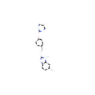 Cn1c(NCc2ccc(Oc3ncc(Cl)cn3)cc2)nc2ccc(N)cc21